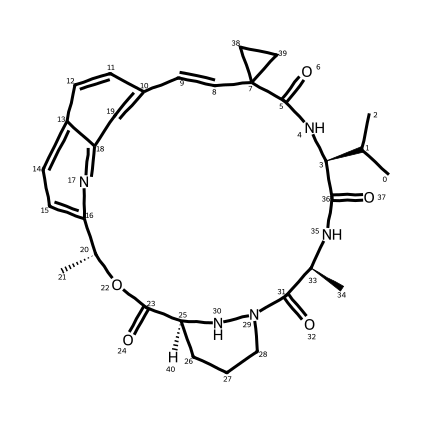 CC(C)[C@@H]1NC(=O)C2(/C=C/c3ccc4ccc(nc4c3)[C@@H](C)OC(=O)[C@@H]3CCCN(N3)C(=O)[C@H](C)NC1=O)CC2